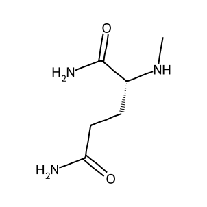 CN[C@H](CCC(N)=O)C(N)=O